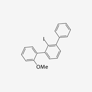 COc1ccccc1-c1cccc(-c2ccccc2)c1I